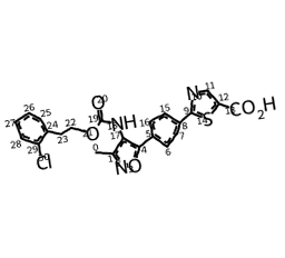 Cc1noc(-c2ccc(-c3ncc(C(=O)O)s3)cc2)c1NC(=O)OCCc1ccccc1Cl